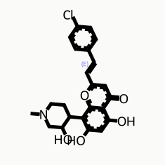 CN1CCC(c2c(O)cc(O)c3c(=O)cc(/C=C/c4ccc(Cl)cc4)oc23)C(O)C1